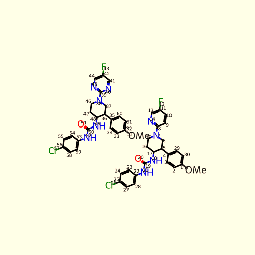 COc1ccc(C2CN(c3ccc(F)cn3)CCC2NC(=O)Nc2ccc(Cl)cc2)cc1.COc1ccc(C2CN(c3ncc(F)cn3)CCC2NC(=O)Nc2ccc(Cl)cc2)cc1